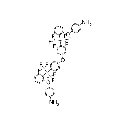 Nc1ccc(Oc2ccccc2C(c2ccc(Oc3ccc(C(c4ccccc4Oc4ccc(N)cc4)(C(F)(F)F)C(F)(F)F)cc3)cc2)(C(F)(F)F)C(F)(F)F)cc1